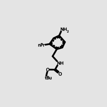 CCCc1cc(N)ccc1CNC(=O)OC(C)(C)C